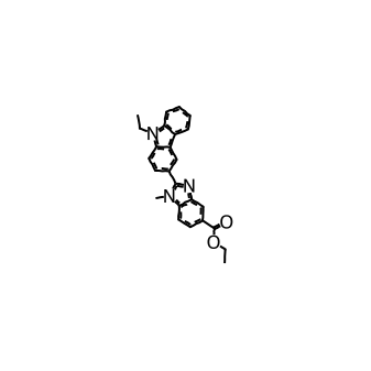 CCOC(=O)c1ccc2c(c1)nc(-c1ccc3c(c1)c1ccccc1n3CC)n2C